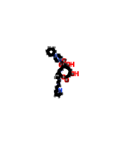 C/C(=C\C=C\Cc1ccccn1)[C@H]1OC(=O)C[C@H](O)CC[C@@](C)(O)[C@@H](OC(=O)N2CCN(C3CCCCCC3)CC2)/C=C/[C@@H]1C